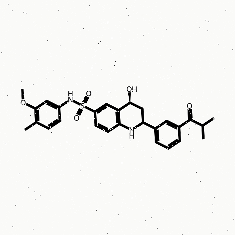 COc1cc(NS(=O)(=O)c2ccc3c(c2)[C@@H](O)CC(c2cccc(C(=O)C(C)C)c2)N3)ccc1C